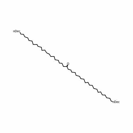 CCCCCCCCCCCCCCCCCCCCCCCCCCCCCCCC(=O)CCCCCCCCCCCCCCCCCCCCCCCCCCCCCCC